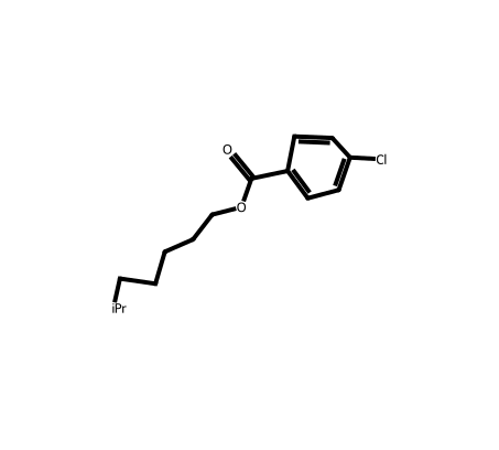 CC(C)CCCCCOC(=O)c1ccc(Cl)cc1